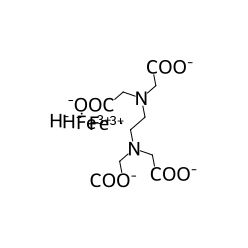 O=C([O-])CN(CCN(CC(=O)[O-])CC(=O)[O-])CC(=O)[O-].[Fe+3].[Fe+3].[H-].[H-]